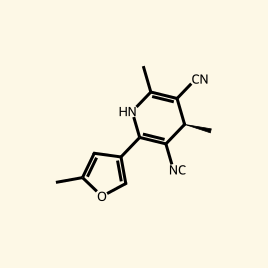 [C-]#[N+]C1=C(c2coc(C)c2)NC(C)=C(C#N)[C@H]1C